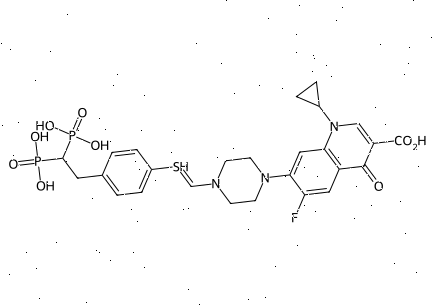 O=C(O)c1cn(C2CC2)c2cc(N3CCN(C=[SH]c4ccc(CC(P(=O)(O)O)P(=O)(O)O)cc4)CC3)c(F)cc2c1=O